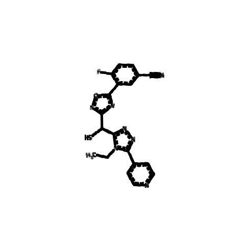 CCn1c(-c2ccncc2)nnc1C(S)c1noc(-c2cc(C#N)ccc2F)n1